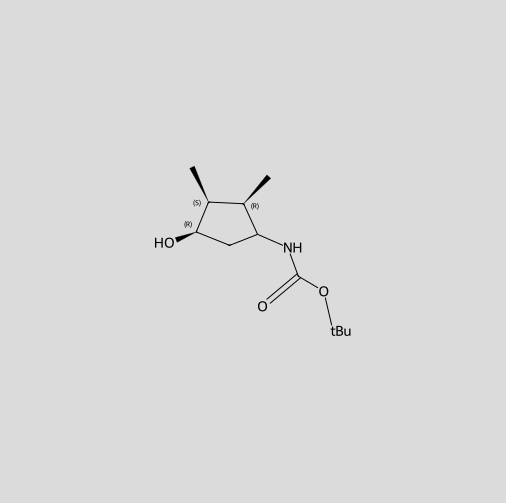 C[C@@H]1[C@H](O)CC(NC(=O)OC(C)(C)C)[C@@H]1C